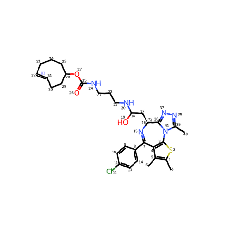 Cc1sc2c(c1C)C(c1ccc(Cl)cc1)=N[C@@H](CC(O)NCCCNC(=O)OC1CC/C=C/CCC1)c1nnc(C)n1-2